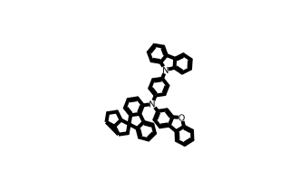 c1ccc2c(c1)-c1c(N(c3ccc(-n4c5ccccc5c5ccccc54)cc3)c3ccc4c(c3)oc3ccccc34)cccc1C21CC2C3CCC1C32